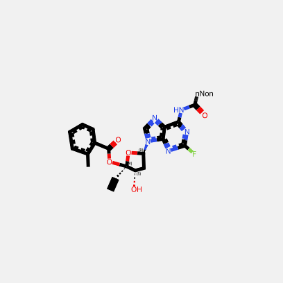 C#C[C@]1(OC(=O)c2ccccc2C)O[C@@H](n2cnc3c(NC(=O)CCCCCCCCC)nc(F)nc32)C[C@@H]1O